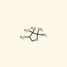 CC1COC(C)(N)C1(C)C